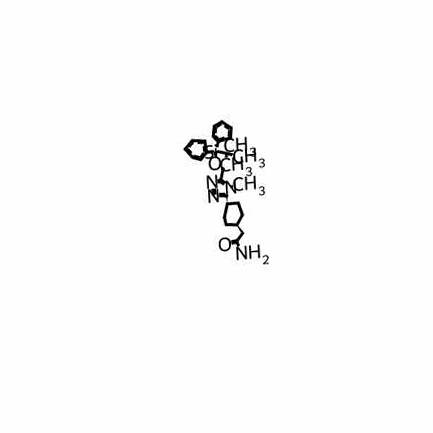 Cn1c(CO[Si](c2ccccc2)(c2ccccc2)C(C)(C)C)nnc1[C@H]1CC[C@H](CC(N)=O)CC1